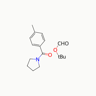 CC(C)(C)OC=O.Cc1ccc(C(=O)N2CCCC2)cc1